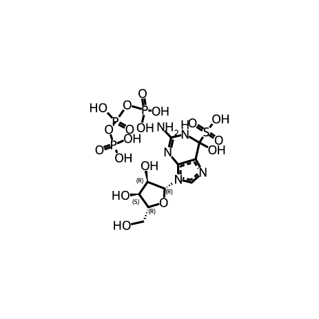 NC1=Nc2c(ncn2[C@@H]2O[C@H](CO)[C@@H](O)[C@H]2O)C(O)(S(=O)(=O)O)N1.O=P(O)(O)OP(=O)(O)OP(=O)(O)O